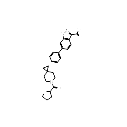 O=C(O)c1n[nH]c2cc(-c3ccc([C@H]4CC45CCN(C(=O)C4CCCO4)CC5)cc3)ccc12